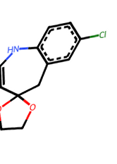 Clc1ccc2c(c1)CC1(C=CN2)OCCO1